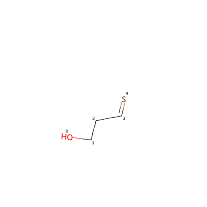 OCCC=S